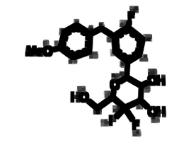 COc1ccc(Cc2cc(C3OC(CO)C(F)(F)C(O)C3O)ccc2F)cc1